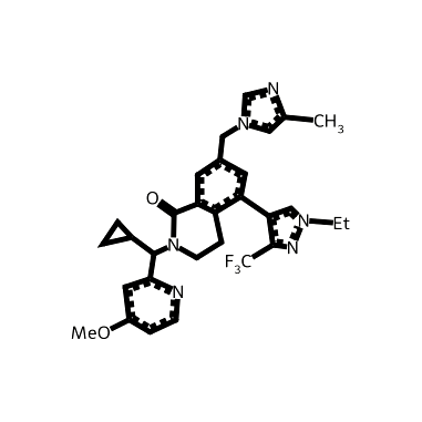 CCn1cc(-c2cc(Cn3cnc(C)c3)cc3c2CCN(C(c2cc(OC)ccn2)C2CC2)C3=O)c(C(F)(F)F)n1